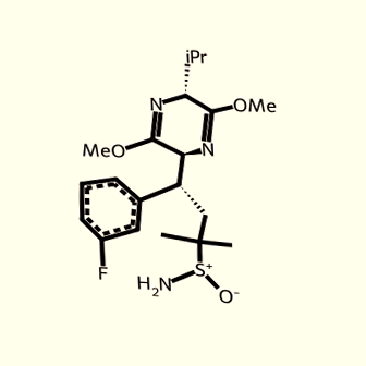 COC1=N[C@H](C(C)C)C(OC)=N[C@H]1[C@H](CC(C)(C)[S+](N)[O-])c1cccc(F)c1